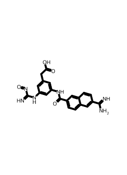 N=C(N=O)Nc1cc(CC(=O)O)cc(NC(=O)c2ccc3cc(C(=N)N)ccc3c2)c1